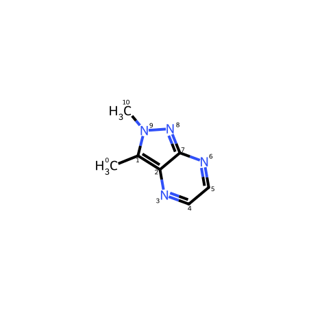 Cc1c2nccnc2nn1C